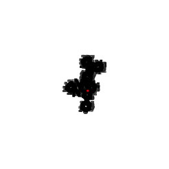 c1ccc(-c2cccc(-c3nc4ccccc4nc3-n3c4ccccc4c4cc(-n5c6ccccc6c6ccccc65)ccc43)c2)cc1